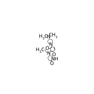 CC1CN(C2CCC(=O)NC2=O)c2cccc(N3CCC(N(C)C)CC3)c2O1